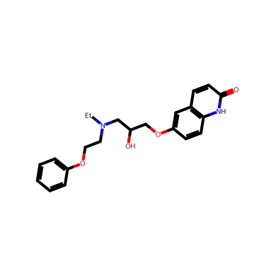 CCN(CCOc1ccccc1)CC(O)COc1ccc2[nH]c(=O)ccc2c1